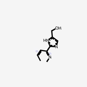 C/C=C\C(=N/C)c1ncc(CO)[nH]1